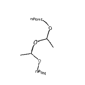 CCCCCOC(C)OC(C)OCCCCC